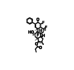 CCC(=O)O[C@@H]1[C@H](C)C[C@H]2[C@@H]3C[C@H](F)C4=C(F)C(=O)C(c5ccccc5)=C[C@]4(C)[C@@]3(F)[C@@H](O)C[C@]12C